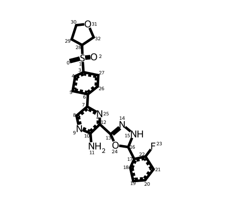 C=S(=O)(c1ccc(-c2cnc(N)c(C3=NNC(c4ccccc4F)O3)n2)cc1)C1CCOC1